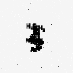 CC(=O)c1ccc(-c2ccnc3[nH]c(-c4n[nH]c5ccc(-c6cncc(CN(C)C)c6)cc45)nc23)s1